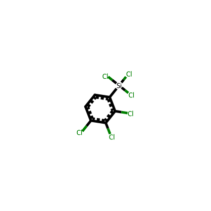 Clc1ccc([Si](Cl)(Cl)Cl)c(Cl)c1Cl